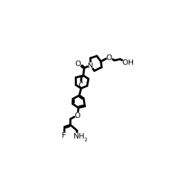 NC/C(=C\F)COc1ccc(C23CCC(C(=O)N4CCC(OCCO)CC4)(CC2)CC3)cc1